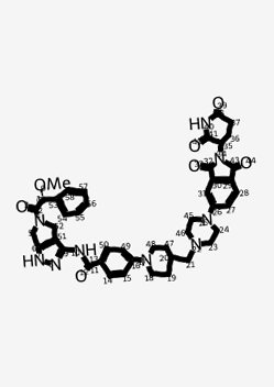 CO[C@@H](C(=O)N1Cc2[nH]nc(NC(=O)c3ccc(N4CCC(CN5CCN(c6ccc7c(c6)C(=O)N(C6CCC(=O)NC6=O)C7=O)CC5)CC4)cc3)c2C1)c1ccccc1